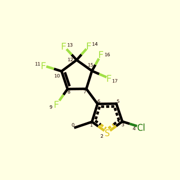 Cc1sc(Cl)cc1C1C(F)=C(F)C(F)(F)C1(F)F